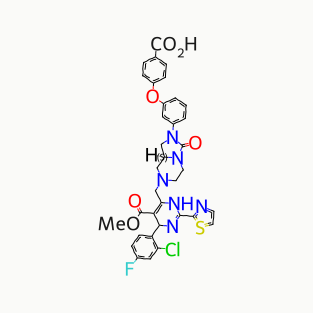 COC(=O)C1=C(CN2CCN3C(=O)N(c4cccc(Oc5ccc(C(=O)O)cc5)c4)C[C@@H]3C2)NC(c2nccs2)=NC1c1ccc(F)cc1Cl